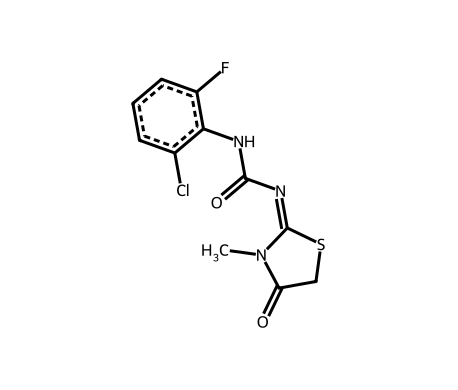 CN1C(=O)CSC1=NC(=O)Nc1c(F)cccc1Cl